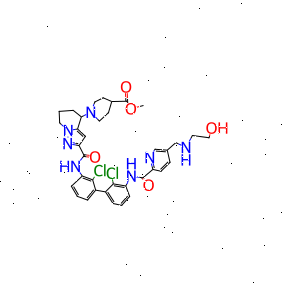 COC(=O)C1CCN(C2CCCn3nc(C(=O)Nc4cccc(-c5cccc(NC(=O)c6ccc(CNCCO)cn6)c5Cl)c4Cl)cc32)CC1